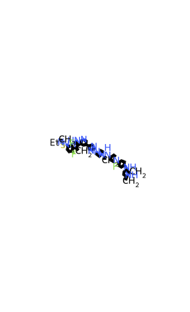 C=C1CCC(Nc2ccc(N3CCC(NC(=C)N4CCN(c5ncc(-c6cnc7[nH]cc(C(=C)c8c(F)ccc(NSN(C)CC)c8F)c7c6)cn5)CC4)CC3)c(F)c2)C(=C)N1